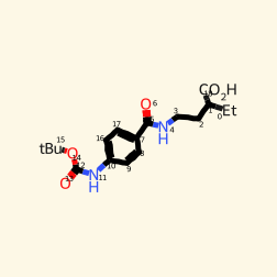 CCC(CCNC(=O)c1ccc(NC(=O)OC(C)(C)C)cc1)C(=O)O